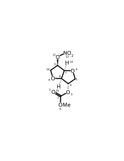 COC(=O)O[C@H]1CO[C@H]2[C@@H]1OC[C@H]2O[N+](=O)[O-]